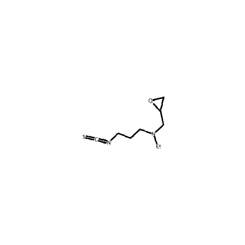 CCN(CCCN=C=S)CC1CO1